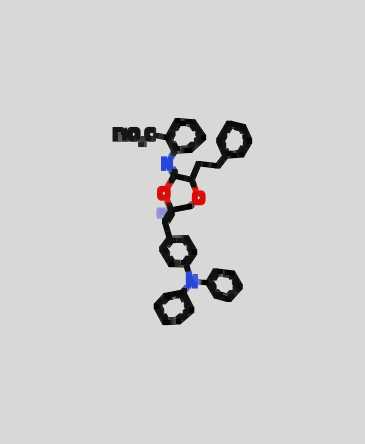 CCOC(=O)c1ccccc1N=C1O/C(=C/c2ccc(N(c3ccccc3)c3ccccc3)cc2)COC1CCc1ccccc1